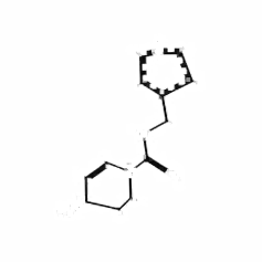 O=C(OCc1ccccc1)N1C=C[C@@H](O)CC1